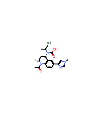 CC(=O)N1c2ccc(-c3cn(C)cn3)cc2[C@H](N(C(=O)O)C(C)C)C[C@@H]1C.Cl